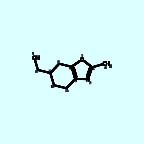 Cc1nc2c(o1)CC(CO)CC2